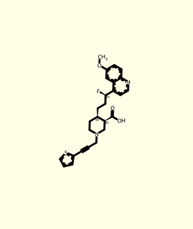 COc1ccc2nccc([C@H](F)CC[C@@H]3CCN(CC#Cc4cccs4)C[C@@H]3C(=O)O)c2c1